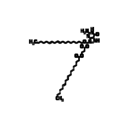 CCCCCC=CCC=CCCCCCCCC(=O)OCCCOC(OC(=O)CCCCCCCC=CCC=CCCCCC)N1CNc2c1nc(N)[nH]c2=O